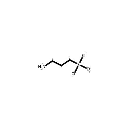 CC[Si](Cl)(Cl)CCCN